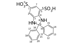 O=S(=O)(O)c1cc2c(c(S(=O)(=O)O)c1)NC(c1ccccc1)(c1ccccc1)N2